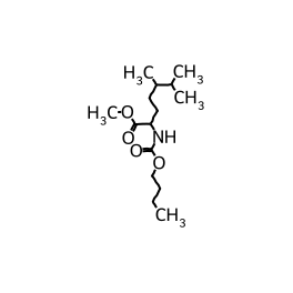 CCCCOC(=O)NC(CCC(C)C(C)C)C(=O)OC